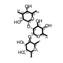 CC1OC(C)[C@H](O)[C@H](O)C1O[C@H]1OC(C)[C@H](O)C(O)[C@H]1O[C@H]1OC(C)[C@H](O)C(C)[C@H]1O